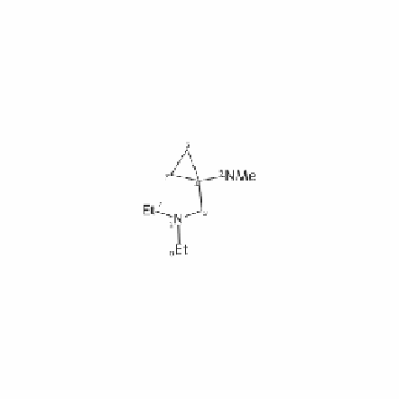 CCN(CC)CC1(NC)CC1